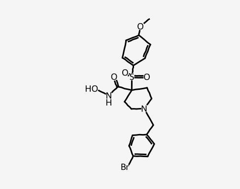 COc1ccc(S(=O)(=O)C2(C(=O)NO)CCN(Cc3ccc(Br)cc3)CC2)cc1